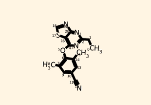 CCc1nc(Oc2c(C)cc(C#N)cc2C)c2scnc2n1